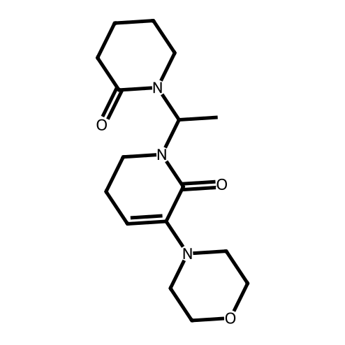 CC(N1CCCCC1=O)N1CCC=C(N2CCOCC2)C1=O